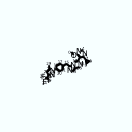 COc1ncnc(C2CC2)c1-c1cn2c(Cc3ccc(-n4nc(C(F)(F)F)cc4C)cc3)ncc2cn1